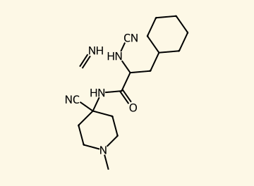 C=N.CN1CCC(C#N)(NC(=O)C(CC2CCCCC2)NC#N)CC1